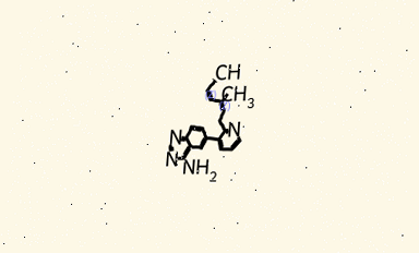 C#C/C=C\C(C)=C/Cc1ncccc1-c1ccc2ncnc(N)c2c1